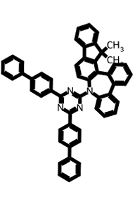 CC1(C)c2ccccc2-c2ccc3c(c21)-c1ccccc1-c1ccccc1N3c1nc(-c2ccc(-c3ccccc3)cc2)nc(-c2ccc(-c3ccccc3)cc2)n1